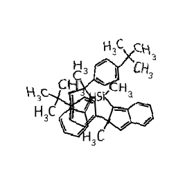 C[SiH](C1=c2ccccc2=CC1(C)c1ccc(C(C)(C)C)cc1)C1=c2ccccc2=CC1(C)c1ccc(C(C)(C)C)cc1